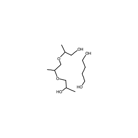 CC(O)COC(C)COC(C)CO.OCCCCO